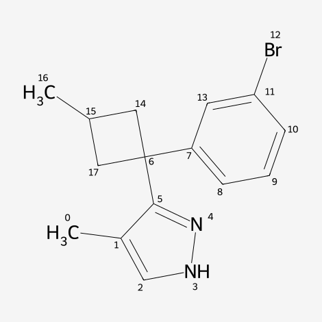 Cc1c[nH]nc1C1(c2cccc(Br)c2)CC(C)C1